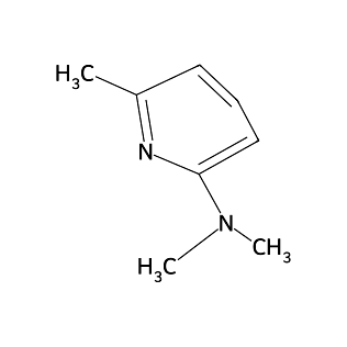 Cc1cccc(N(C)C)n1